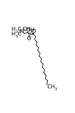 CCCCCCCCCCCCCCCCCCCC(=O)[P+]([O-])=C(O)C[N+](C)(C)C